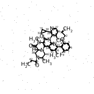 C=CCOc1cccc(F)c1-c1nc2c(cc1C)c1c(c(=O)n2-c2c(C)ccnc2C2CC2)N(C)C(=O)[C@H]2CN(C(=O)C=C)[C@H](C)CN12